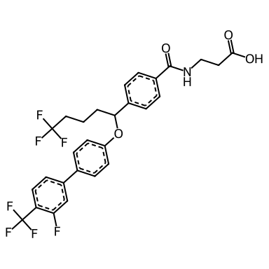 O=C(O)CCNC(=O)c1ccc(C(CCCC(F)(F)F)Oc2ccc(-c3ccc(C(F)(F)F)c(F)c3)cc2)cc1